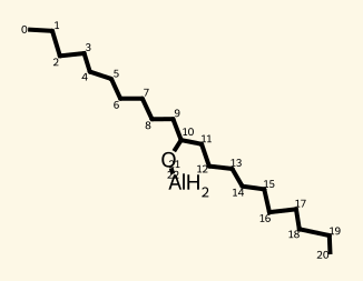 CCCCCCCCCCC(CCCCCCCCCC)[O][AlH2]